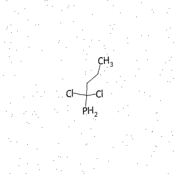 CCCC(P)(Cl)Cl